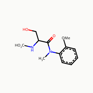 COc1ccccc1N(C)C(=O)C(CO)NC(=O)O